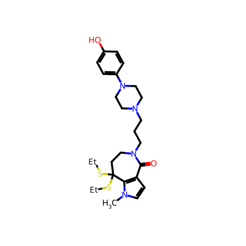 CCSC1(SCC)CCN(CCCN2CCN(c3ccc(O)cc3)CC2)C(=O)c2ccn(C)c21